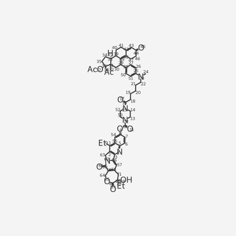 CCc1c2c(nc3ccc(OC(=O)N4CCN(C(=O)CCCCCN(C)c5ccc(C6CC7(C)[C@@H](CC[C@]7(OC(C)=O)C(C)=O)C7CCC8=CC(=O)CCC8=C67)cc5)CC4)cc13)-c1cc3c(c(=O)n1C2)COC(=O)[C@](O)(CC)C3